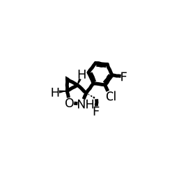 FC[C@]1(c2cccc(F)c2Cl)NO[C@@H]2C[C@@H]21